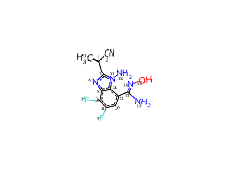 CC(C#N)c1nc2c(F)c(F)cc(C(N)=NO)c2n1N